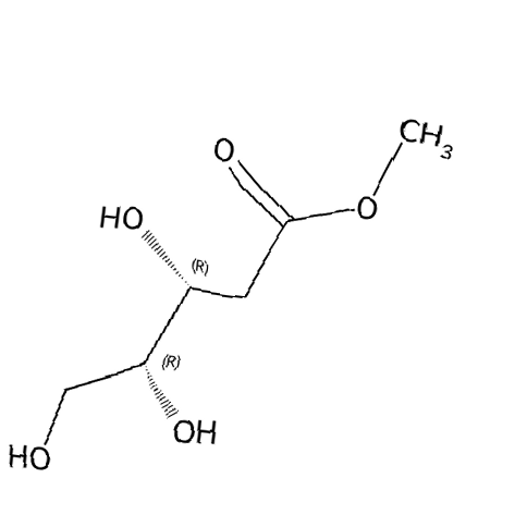 COC(=O)C[C@@H](O)[C@H](O)CO